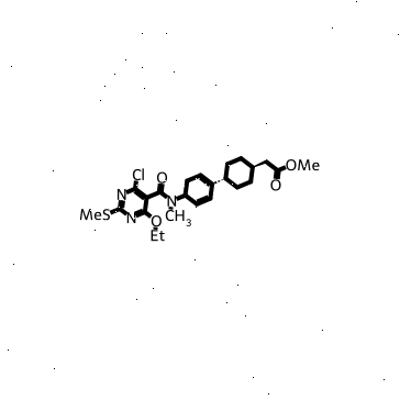 CCOc1nc(SC)nc(Cl)c1C(=O)N(C)C1C=CC([C@H]2CC[C@H](CC(=O)OC)CC2)=CC1